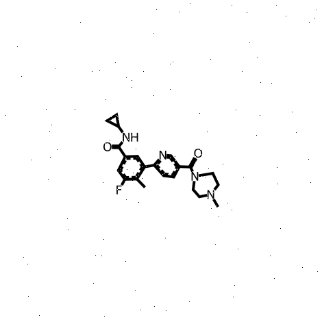 Cc1c(F)cc(C(=O)NC2CC2)cc1-c1ccc(C(=O)N2CCN(C)CC2)cn1